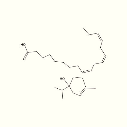 CC/C=C\C/C=C\C/C=C\CCCCCCCC(=O)O.CC1=CCC(O)(C(C)C)CC1